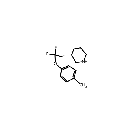 C1CCNCC1.Cc1ccc(OC(F)(F)F)cc1